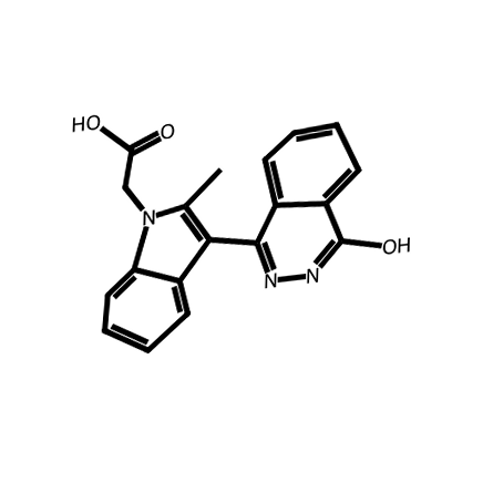 Cc1c(-c2nnc(O)c3ccccc23)c2ccccc2n1CC(=O)O